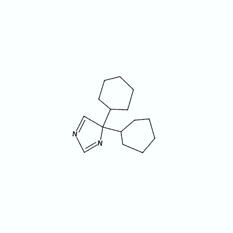 C1=NC=NC1(C1CCCCC1)C1CCCCC1